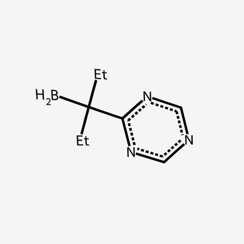 BC(CC)(CC)c1ncncn1